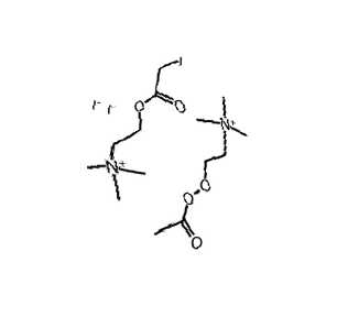 CC(=O)OOCC[N+](C)(C)C.C[N+](C)(C)CCOC(=O)CI.[I-].[I-]